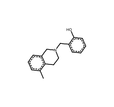 Cc1cccc2c1CCN(Cc1ccccc1O)C2